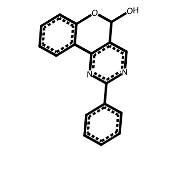 OC1Oc2ccccc2-c2nc(-c3ccccc3)ncc21